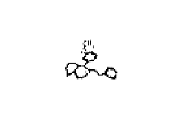 COc1cccc(C2C3CCCCC3CCN2CCc2ccccc2)c1